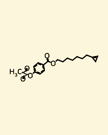 CS(=O)(=O)Oc1ccc(C(=O)OCCCCCCCC2=CC2)cc1